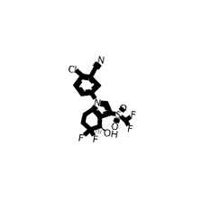 N#Cc1cc(-n2cc(S(=O)(=O)C(F)F)c3c2CCC(F)(F)[C@H]3O)ccc1Cl